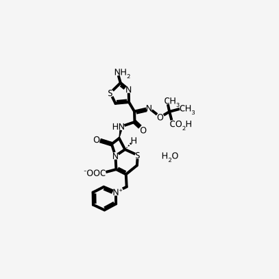 CC(C)(O/N=C(\C(=O)N[C@@H]1C(=O)N2C(C(=O)[O-])=C(C[n+]3ccccc3)CS[C@H]12)c1csc(N)n1)C(=O)O.O